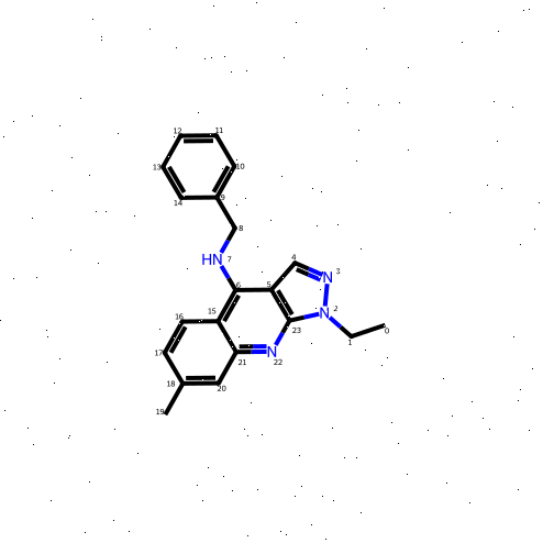 CCn1ncc2c(NCc3ccccc3)c3ccc(C)cc3nc21